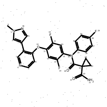 Cn1cc(-c2cnccc2Oc2cc(F)c(N(C(=O)C3(C(N)=O)CC3)c3ccc(F)cc3)cc2F)cn1